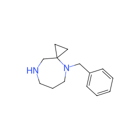 c1ccc(CN2CCCNCC23CC3)cc1